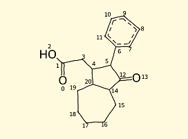 O=C(O)CC1C(c2ccccc2)C(=O)C2CCCCCC21